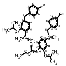 CC(C)Oc1cc(Cc2ccc(F)cc2)ccc1N(C)N.CCOC(=O)Nc1ccc(N(C)Cc2ccc(F)cc2)cc1OC(C)C